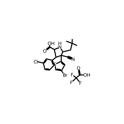 CC(C)(C)CC1NC(C(=O)O)C(c2cccc(Cl)c2)C1(C#N)c1cc(Br)cs1.O=C(O)C(F)(F)F